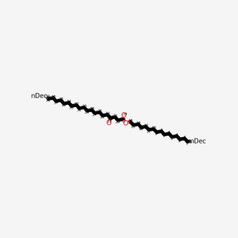 CCCCCCCCCCCCCCCCCCCCCCCCCCOC(=O)CCC(=O)CCCCCCCCCCCCCCCCCCCCCCCCCC